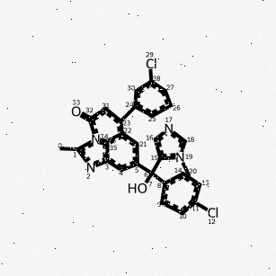 Cc1nc2cc(C(O)(c3ccc(Cl)cc3)c3cncn3C)cc3c(-c4cccc(Cl)c4)cc(=O)n1c23